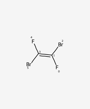 F/C(Br)=C(/F)Br